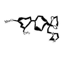 COc1ccc(-c2ccc(C3(Cn4ccnc4)OCCO3)cc2)c(C)c1